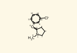 CN1CCCC1=O.Clc1ccccc1